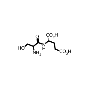 N[C@@H](CO)C(=O)N[C@@H](CCC(=O)O)C(=O)O